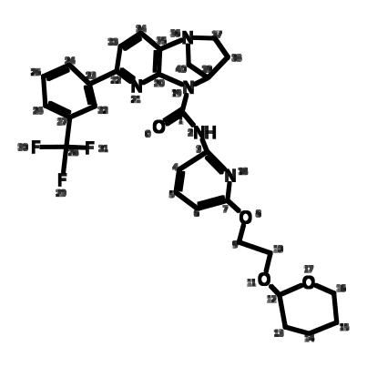 O=C(Nc1cccc(OCCOC2CCCCO2)n1)N1c2nc(-c3cccc(C(F)(F)F)c3)ccc2N2CCC1C2